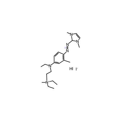 CCN(CC[N+](C)(CC)CC)c1ccc(/N=N/C2N(C)C=CN2C)c(C)c1.I.[I-]